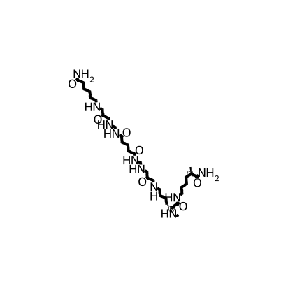 CN[C@H](CCCCNCC(=O)CNCNC(=O)CCCC(=O)NCNCC(=O)CNCCCCCC(N)=O)C(=O)NCCCC[C@@H](C)C(N)=O